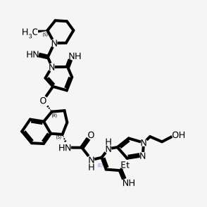 CCC(=N)/C=C(/NC(=O)N[C@H]1CC[C@@H](Oc2ccc(=N)n(C(=N)N3CCCC[C@@H]3C)c2)c2ccccc21)Nc1cnn(CCO)c1